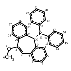 COC1=Cc2ccccc2[C@@H](P(c2ccccc2)c2ccccc2)c2ccccc21